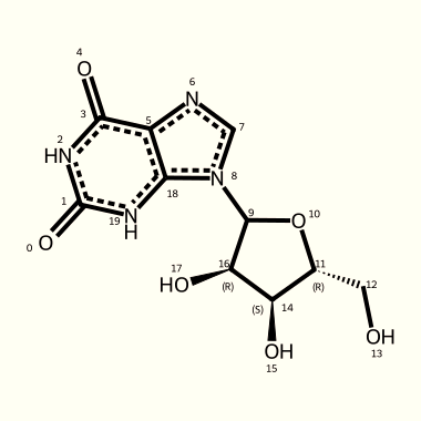 O=c1[nH]c(=O)c2ncn(C3O[C@H](CO)[C@@H](O)[C@H]3O)c2[nH]1